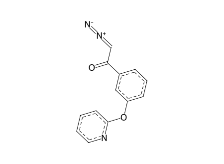 [N-]=[N+]=CC(=O)c1cccc(Oc2ccccn2)c1